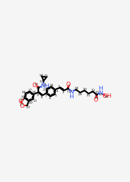 O=C(C=Cc1ccc(C=C(C(=O)NC2CC2)c2ccc3c(c2)COO3)cc1)NCCCCCC(=O)NO